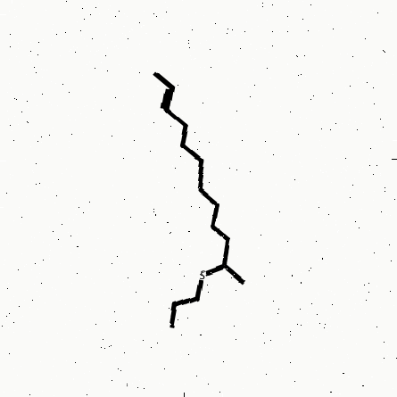 C/C=C/CCCCCCCC(C)SCCC